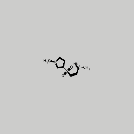 C[C@@H](N)/C=C\S(=O)(=O)[C@H]1CCN(C)C1